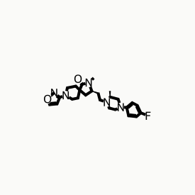 C[C@H]1CN(c2ccc(F)cc2)CCN1CC[C@H]1CC2(CCN(c3ccon3)CC2)C(=O)N1C